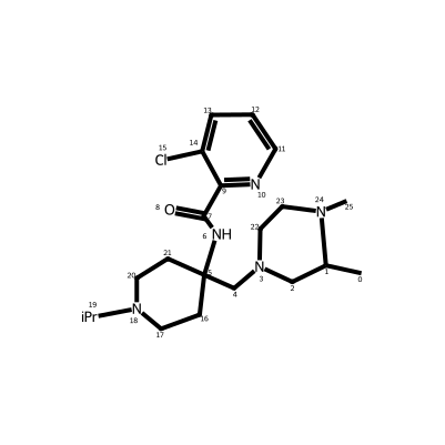 CC1CN(CC2(NC(=O)c3ncccc3Cl)CCN(C(C)C)CC2)CCN1C